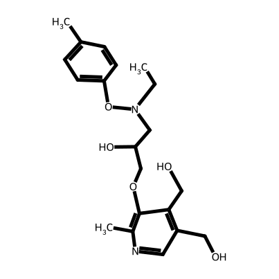 CCN(CC(O)COc1c(C)ncc(CO)c1CO)Oc1ccc(C)cc1